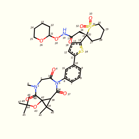 CN1CC(=O)N(c2cccc(-c3ccc([C@@]4(CC(=O)NOC5CCCCO5)CCCCS4(=O)=O)s3)c2)C(=O)C2C(C)(C)C2(OC(C)(C)C)C1=O